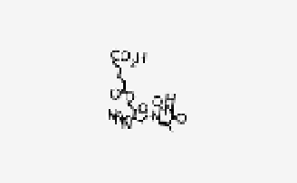 Cc1cn(C2CC(N=[N+]=[N-])C(COC(=O)CCCCC(=O)O)O2)c(=O)[nH]c1=O